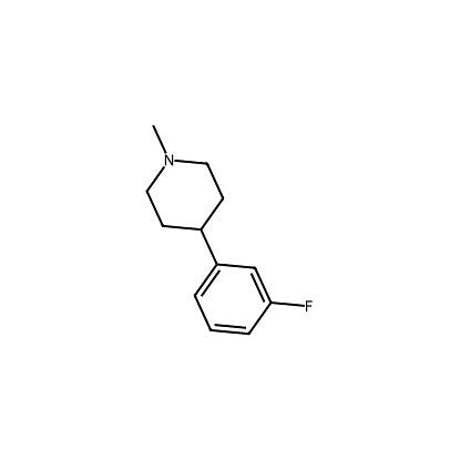 CN1CCC(c2cccc(F)c2)CC1